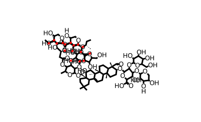 CC[C@H](C)[C@H](C[C@H](O)CC(=O)OC1C(C)OC(OC(=O)[C@]23CCC(C)(C)CC2C2=CCC4[C@@]5(C)CC[C@H](OC6OC(C(=O)O)C(O)C(OC7OCC(O)C(O)C7O)C6OC6OC(CO)C(O)C(O)C6O)[C@@](C)(C=O)C5CC[C@@]4(C)[C@]2(C)C[C@H]3O)C(OC2OC(C)C(OC3OCC(O)C(OC4OCC(O)C(O)C4O)C3O)C(O)C2O)C1O)OC(=O)C[C@@H](O)C[C@H](OC1OC(CO)C(O)C1O)[C@@H](C)CC